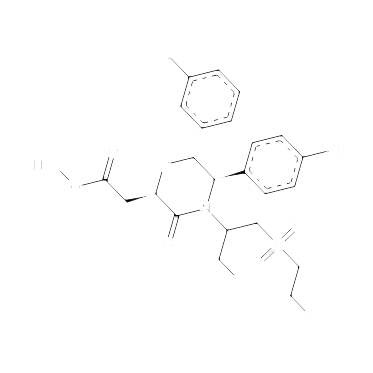 CCC(CS(=O)(=O)CCO)N1C(=O)[C@@H](CC(=O)OC)O[C@H](c2cccc(Cl)c2)[C@H]1c1ccc(Cl)cc1